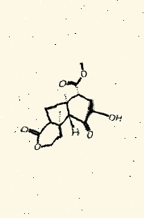 COC(=O)[C@@H]1CC(O)C(=O)[C@H]2[C@@]1(C)CCC1C(=O)OCC[C@@]12C